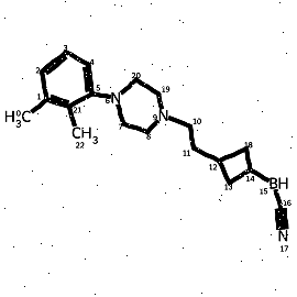 Cc1cccc(N2CCN(CCC3CC(BC#N)C3)CC2)c1C